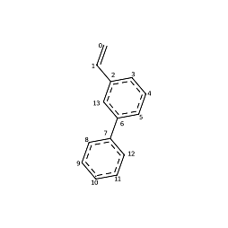 C=Cc1cccc(-c2cc[c]cc2)c1